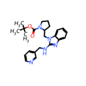 CC(C)(C)OC(=O)N1CCCC1Cn1c(NCc2cccnc2)nc2ccccc21